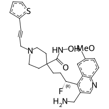 COc1ccc2ncc(CN)c([C@H](F)CCC3(C(=O)NO)CCN(CC#Cc4cccs4)CC3)c2c1